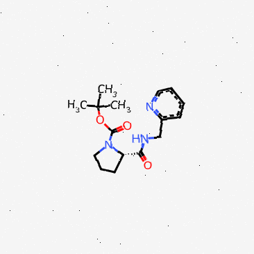 CC(C)(C)OC(=O)N1CCC[C@H]1C(=O)NCc1ccccn1